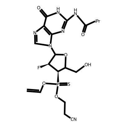 C=COP(=S)(OCCC#N)[C@@H]1C(CO)OC(n2cnc3c(=O)[nH]c(NC(=O)C(C)C)nc32)[C@@H]1F